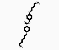 CCCCCCC[C@H]1CC[C@H](C(=O)Oc2ccc(OCCCCC)nc2)CC1